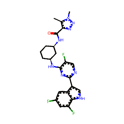 Cc1c(C(=O)N[C@@H]2CCC[C@H](Nc3nc(-c4c[nH]c5c(F)cc(F)cc45)ncc3F)C2)nnn1C